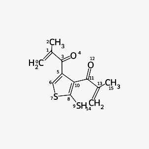 C=C(C)C(=O)c1csc(S)c1C(=O)C(=C)C